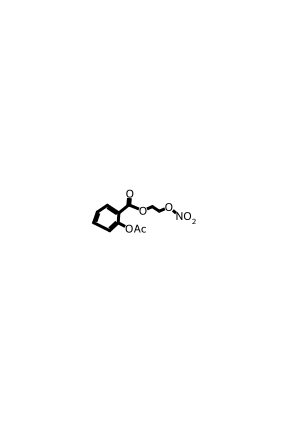 CC(=O)Oc1ccccc1C(=O)OCCO[N+](=O)[O-]